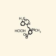 CNc1ccc([N+](=O)[O-])cc1C=CC1=NCCN(C)c2ccccc21.Cl.Cl